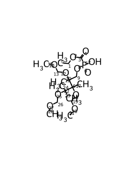 CCOC(=O)P(=O)(O)OCC(C)(OCOC)C(C)(OCOC)C(C)(C)OCOC